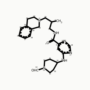 CC(CNC(=O)c1cc(NC2CCN(C=O)CC2)ncn1)CN1CCc2ccccc2C1